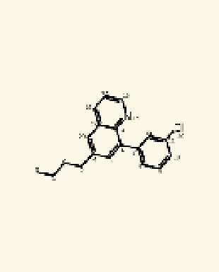 CCCCc1cc(-c2cccc(Cl)c2)c2ncccc2c1